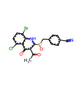 CC(=O)c1c([S+]([O-])Cc2ccc(C#N)cc2)[nH]c2c(Br)ccc(Cl)c2c1=O